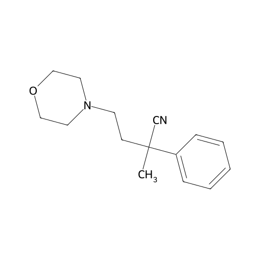 CC(C#N)(CCN1CCOCC1)c1ccccc1